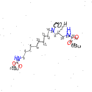 CC(C)(C)OC(=O)NCCCCCCCCCCN(CCCNC(=O)OC(C)(C)C)C(=O)O